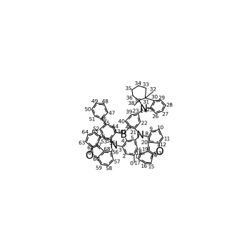 Cc1cc2c3c(c1)N(c1cccc4oc5ccccc5c14)c1cc(N4c5ccccc5C5(C)CCCCC45C)ccc1B3c1cc(-c3ccccc3)ccc1N2c1cccc2oc3ccccc3c12